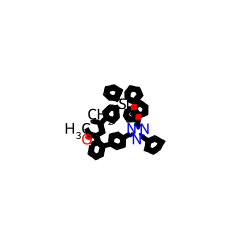 C=C/C(=C\c1c(C)oc2cccc(-c3ccc(-c4nc(-c5ccccc5)nc(-c5ccccc5)n4)cc3)c12)c1ccc([Si](c2ccccc2)(c2ccccc2)c2ccccc2)cc1